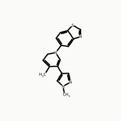 CC1=CCN(c2ccc3scnc3c2)C=C1c1cnn(C)c1